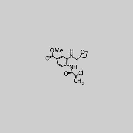 C=C(Cl)C(=O)Nc1ccc(C(=O)OC)cc1NC[C@@H]1CCO1